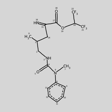 CC(CNC(=O)N(C)c1ccccc1)CC(=N)C(=O)OC(C(F)(F)F)C(F)(F)F